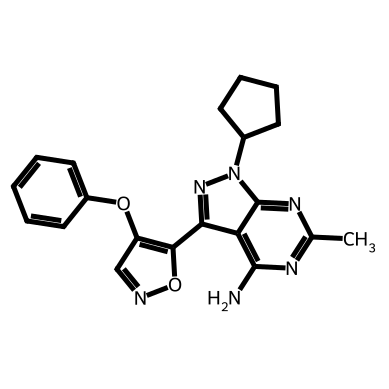 Cc1nc(N)c2c(-c3oncc3Oc3ccccc3)nn(C3CCCC3)c2n1